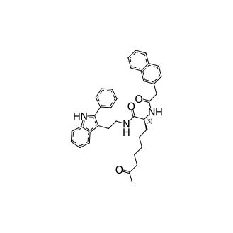 CC(=O)CCCCC[C@H](NC(=O)Cc1ccc2ccccc2c1)C(=O)NCCc1c(-c2ccccc2)[nH]c2ccccc12